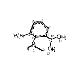 CN(C)c1c(N)cccc1B(O)O